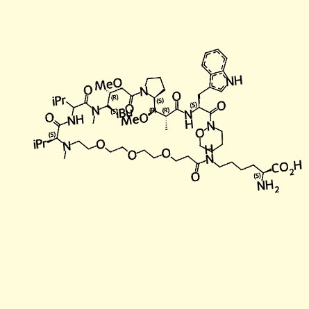 CC[C@H](C)C([C@@H](CC(=O)N1CCC[C@H]1[C@H](OC)[C@@H](C)C(=O)N[C@@H](Cc1c[nH]c2ccccc12)C(=O)N1CCCCO1)OC)N(C)C(=O)C(NC(=O)[C@H](C(C)C)N(C)CCOCCOCCOCCC(=O)NCCCC[C@H](N)C(=O)O)C(C)C